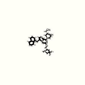 CN1CC(F)(F)C[C@H]1COc1nc(N2CCN[C@@H](CC#N)C2)c2ncc(Cc3cccc4ccccc34)n2n1